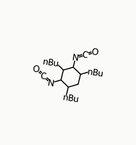 CCCCC1CC(CCCC)C(N=C=O)C(CCCC)C1N=C=O